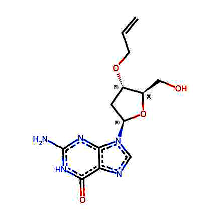 C=CCO[C@H]1C[C@H](n2cnc3c(=O)[nH]c(N)nc32)O[C@@H]1CO